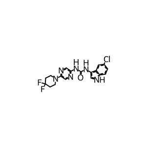 O=C(Nc1cnc(N2CCC(F)(F)CC2)cn1)Nc1c[nH]c2ccc(Cl)cc12